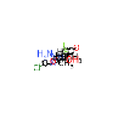 C[C@]12C=CC(=O)C=C1[C@@H](F)C[C@H]1[C@@H]3C[C@H]4CN(Cc5cccc(Cl)c5)C[C@@]4(C(=O)NCN)[C@@]3(C)C[C@H](O)[C@@]12F